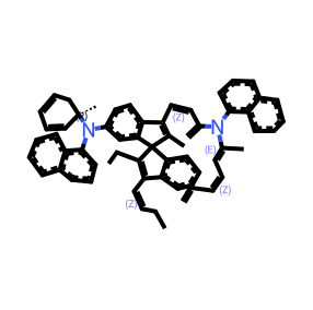 C=C/C=C\C=C(/C)N(C(=C)/C=C\C1=C(C)C2(C(CC)=C(/C=C\CC)c3ccccc32)c2cc(N(c3cccc4ccccc34)[C@@]3(C)C=CC=CC3)ccc21)c1cccc2ccccc12